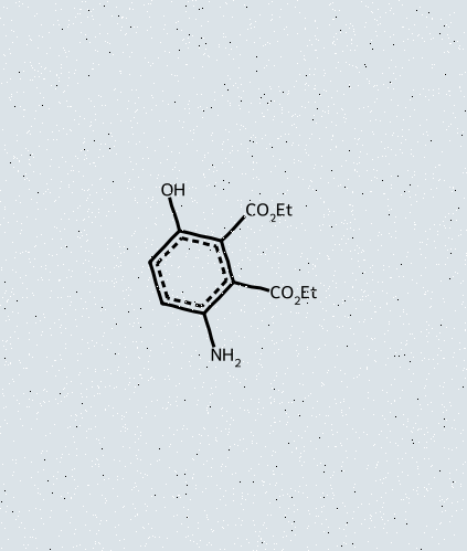 CCOC(=O)c1c(N)ccc(O)c1C(=O)OCC